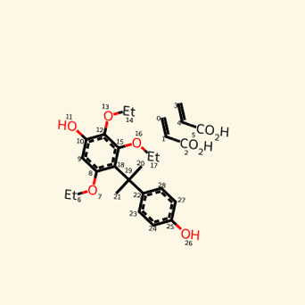 C=CC(=O)O.C=CC(=O)O.CCOc1cc(O)c(OCC)c(OCC)c1C(C)(C)c1ccc(O)cc1